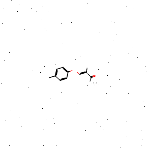 CC/C(=C\Oc1ccc(C)cc1)C(=O)OC